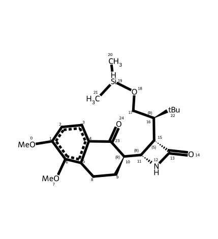 COc1ccc2c(c1OC)CC[C@H]([C@H]1NC(=O)[C@H]1[C@@H](CO[SiH](C)C)C(C)(C)C)C2=O